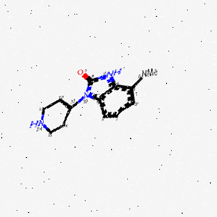 CNc1cccc2c1[nH]c(=O)n2C1CCNCC1